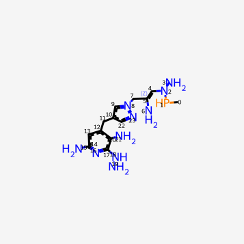 CPN(N)/C=C(\N)Cn1cc(Cc2cc(N)nc(NN)c2N)cn1